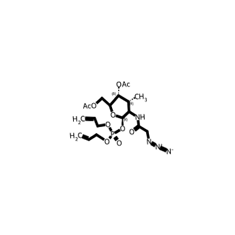 C=CCOP(=O)(OCC=C)O[C@H]1OC(COC(C)=O)[C@H](OC(C)=O)[C@H](C)C1NC(=O)CN=[N+]=[N-]